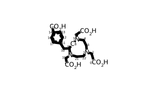 O=C(O)CN1CCN(CC(=O)O)CC(Cc2ccc(C(=O)O)cc2)N(CC(=O)O)CC1